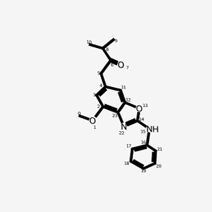 COc1cc(CC(=O)C(C)C)cc2oc(Nc3ccccc3)nc12